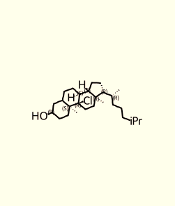 CC(C)CCC[C@@H](C)[C@H]1CC[C@H]2[C@@H]3CCC4C[C@H](O)CC[C@]4(C)[C@@]3(Cl)CC[C@]12C